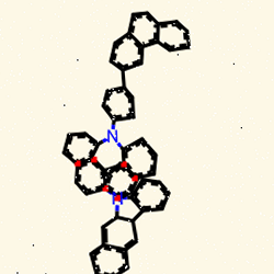 C1=c2ccccc2=CC2C1c1ccccc1N2c1ccccc1-c1ccccc1N(c1ccc(-c2ccc3ccc4ccccc4c3c2)cc1)c1ccccc1-c1ccccc1